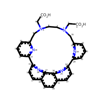 O=C(O)CN1CCN(CC(=O)O)Cc2cccc(n2)-c2ccc3ccc4ccc(nc4c3n2)-c2cccc(n2)C1